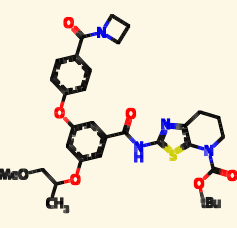 COCC(C)Oc1cc(Oc2ccc(C(=O)N3CCC3)cc2)cc(C(=O)Nc2nc3c(s2)N(C(=O)OC(C)(C)C)CCC3)c1